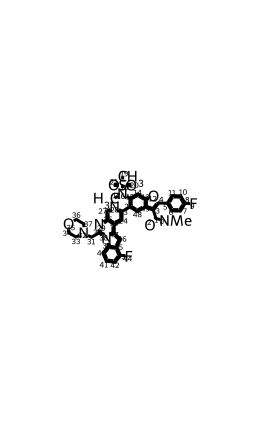 CNC(=O)c1c(-c2ccc(F)cc2)oc2cc(N(C)S(C)(=O)=O)c(-c3cc4c(cn3)nc(CN3CCOCC3)n3c5cccc(F)c5cc43)cc12